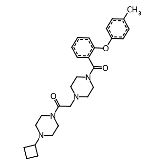 Cc1ccc(Oc2ccccc2C(=O)N2CCN(CC(=O)N3CCN(C4CCC4)CC3)CC2)cc1